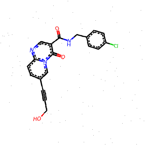 O=C(NCc1ccc(Cl)cc1)c1cnc2ccc(C#CCO)cn2c1=O